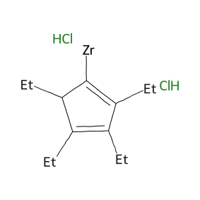 CCC1=[C]([Zr])C(CC)C(CC)=C1CC.Cl.Cl